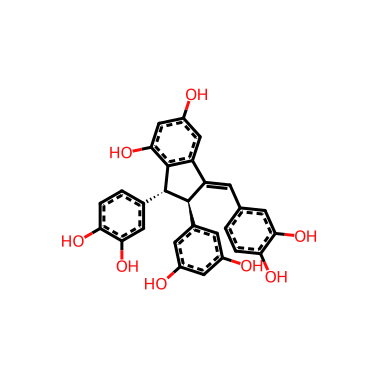 Oc1cc(O)cc([C@@H]2/C(=C\c3ccc(O)c(O)c3)c3cc(O)cc(O)c3[C@H]2c2ccc(O)c(O)c2)c1